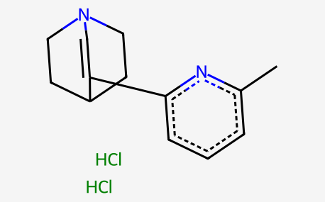 Cc1cccc(C2=CN3CCC2CC3)n1.Cl.Cl